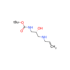 C=CCNC[C@@H](O)CNC(=O)OC(C)(C)C